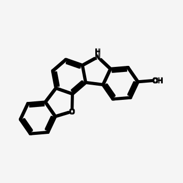 Oc1ccc2c(c1)[nH]c1ccc3c4ccccc4oc3c12